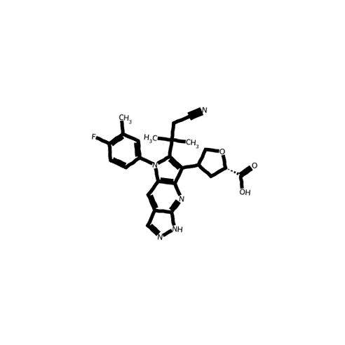 Cc1cc(-n2c(C(C)(C)CC#N)c(C3CO[C@H](C(=O)O)C3)c3nc4[nH]ncc4cc32)ccc1F